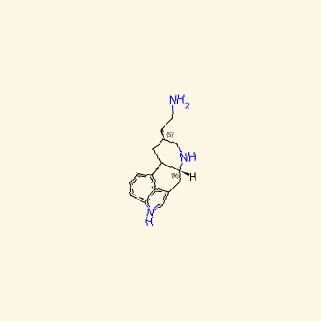 NCC[C@H]1CN[C@@H]2Cc3c[nH]c4cccc(c34)C2C1